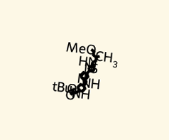 COCCC(C)CNc1nc(-c2ccnc(NC3CCC(NC(=O)OC(C)(C)C)CC3)c2)cs1